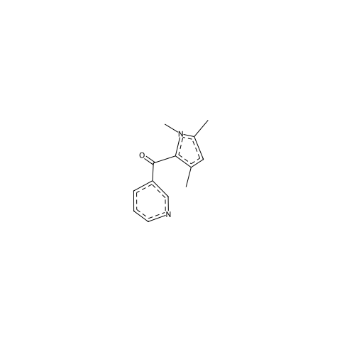 Cc1cc(C)n(C)c1C(=O)c1cccnc1